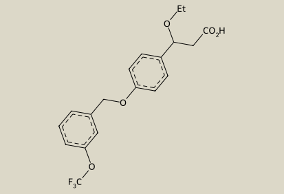 CCOC(CC(=O)O)c1ccc(OCc2cccc(OC(F)(F)F)c2)cc1